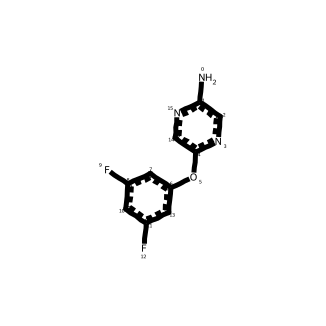 Nc1cnc(Oc2cc(F)cc(F)c2)cn1